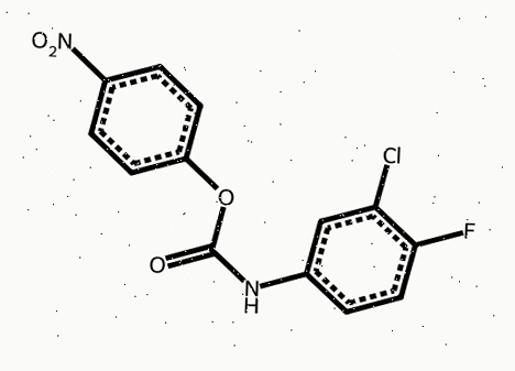 O=C(Nc1ccc(F)c(Cl)c1)Oc1ccc([N+](=O)[O-])cc1